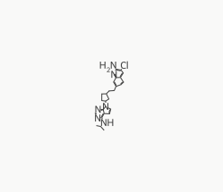 CC(C)Nc1ncnc2c1ccn2[C@H]1CCC(CCc2ccc3cc(Cl)c(N)nc3c2)C1